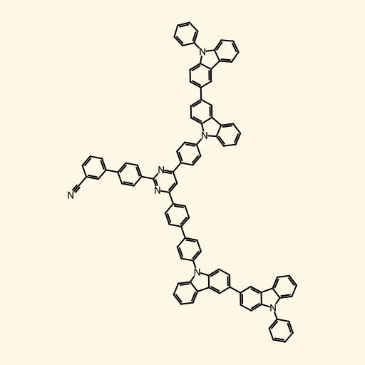 N#Cc1cccc(-c2ccc(-c3nc(-c4ccc(-c5ccc(-n6c7ccccc7c7cc(-c8ccc9c(c8)c8ccccc8n9-c8ccccc8)ccc76)cc5)cc4)cc(-c4ccc(-n5c6ccccc6c6cc(-c7ccc8c(c7)c7ccccc7n8-c7ccccc7)ccc65)cc4)n3)cc2)c1